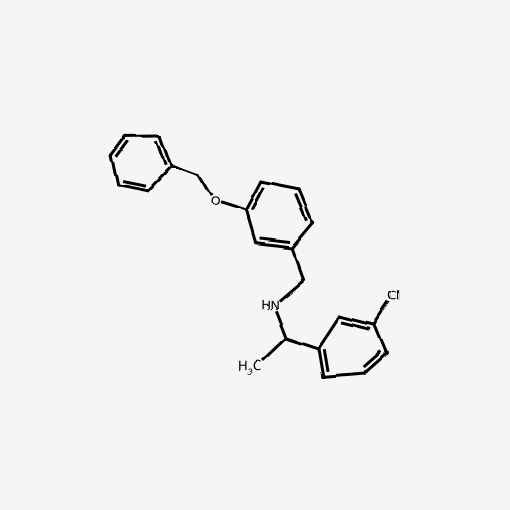 CC(NCc1cccc(OCc2ccccc2)c1)c1cccc(Cl)c1